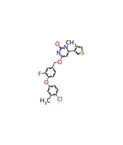 Cc1cc(Oc2ccc(COc3cc(-c4ccsc4)n(C)c(=O)n3)cc2F)ccc1Cl